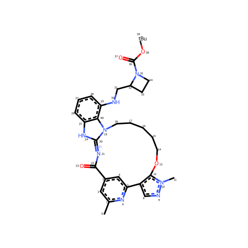 Cc1cc2cc(n1)-c1cnn(C)c1OCCCCCN1/C(=N/C2=O)Nc2cccc(NCC3CCN3C(=O)OC(C)(C)C)c21